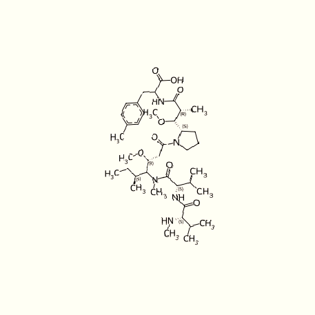 CC[C@H](C)C([C@@H](CC(=O)N1CCC[C@H]1C(OC)[C@@H](C)C(=O)NC(Cc1ccc(C)cc1)C(=O)O)OC)N(C)C(=O)[C@@H](NC(=O)[C@@H](NC)C(C)C)C(C)C